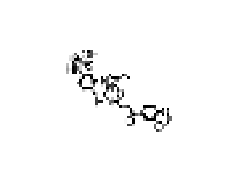 CCc1c[nH]c([C@H](Cc2ccc(NS(=O)(=O)O)cc2)NC(=O)CCC(=O)c2ccc3c(c2)OCCO3)n1